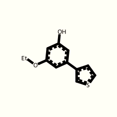 CCOc1cc(O)cc(-c2ccsc2)c1